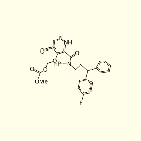 CCCN(CCC(c1ccccc1)c1ccc(F)cc1)C(=O)c1[nH]ncc(=O)c1OCOC(=O)OC